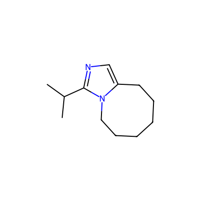 CC(C)c1ncc2n1CCCCCC2